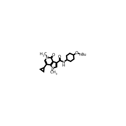 CCCCOC1CCC(NC(=O)c2cn(C)c3c(C4CC4)cn(C)c(=O)c23)CC1